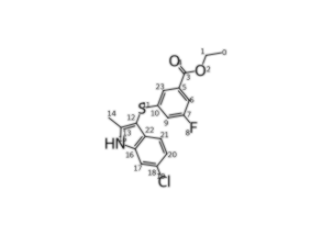 CCOC(=O)c1cc(F)cc(Sc2c(C)[nH]c3cc(Cl)ccc23)c1